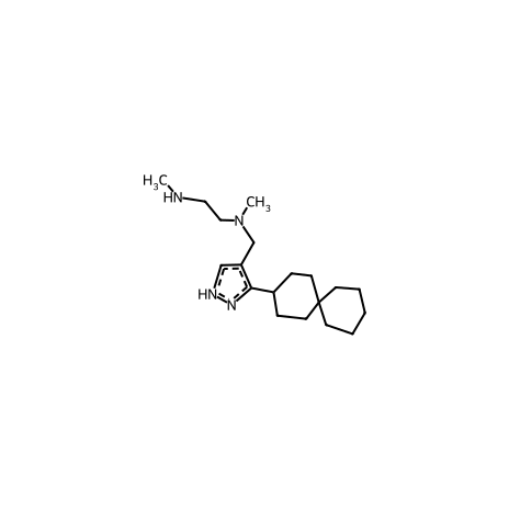 CNCCN(C)Cc1c[nH]nc1C1CCC2(CCCCC2)CC1